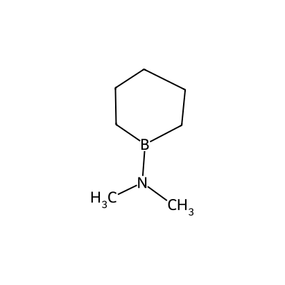 CN(C)B1CCCCC1